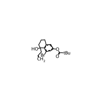 C=CCC1(O)CCCc2cc(OC(=O)C(C)(C)C)cc(Br)c21